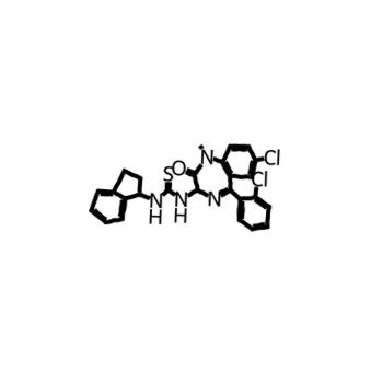 CN1C(=O)C(NC(=S)NC2CCc3ccccc32)N=C(c2ccccc2Cl)c2cc(Cl)ccc21